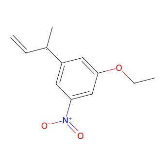 C=C[C](C)c1cc(OCC)cc([N+](=O)[O-])c1